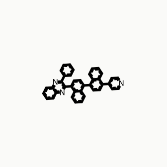 c1ccc(-c2nc3ccccc3nc2-c2ccc(-c3ccc(-c4ccncc4)c4ccccc34)c3ccccc23)cc1